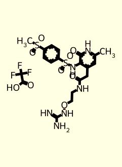 Cc1cc(CC(=O)NCCONC(=N)N)c(NS(=O)(=O)c2ccc(S(C)(=O)=O)cc2)c(=O)[nH]1.O=C(O)C(F)(F)F